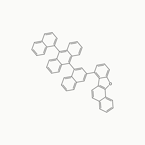 c1ccc2c(-c3c4ccccc4c(-c4cc(-c5cccc6oc7c8ccccc8ccc7c56)cc5ccccc45)c4ccccc34)cccc2c1